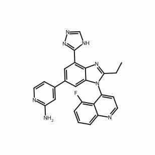 CCc1nc2c(-c3nnc[nH]3)cc(-c3ccnc(N)c3)cc2n1-c1ccnc2cccc(F)c12